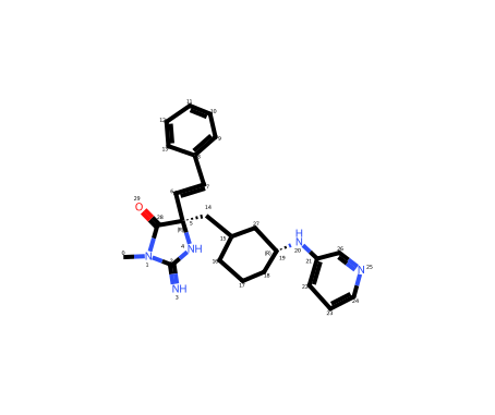 CN1C(=N)N[C@@](C=Cc2ccccc2)(CC2CCC[C@@H](Nc3cccnc3)C2)C1=O